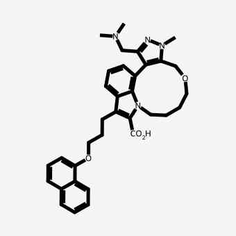 CN(C)Cc1nn(C)c2c1-c1cccc3c(CCCOc4cccc5ccccc45)c(C(=O)O)n(c13)CCCCOC2